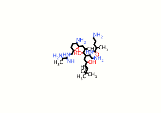 CC(N)C(=N)NCC1CCC(N)C(CC(C)C(O)C(CC(O)/C=C/C(C)(C)C)C(CN)NC(=O)C(C)CCCN)O1